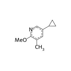 COc1ncc(C2CC2)cc1C